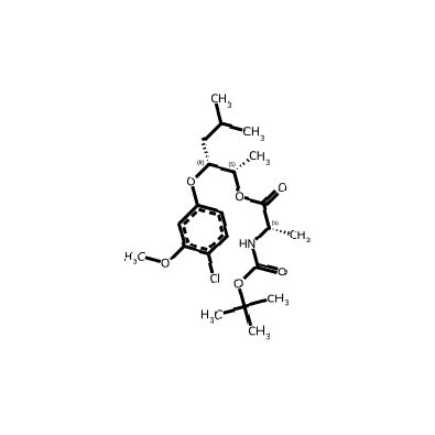 COc1cc(O[C@H](CC(C)C)[C@H](C)OC(=O)[C@H](C)NC(=O)OC(C)(C)C)ccc1Cl